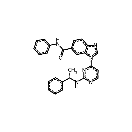 C[C@H](Nc1nccc(-n2cnc3ccc(C(=O)Nc4ccccc4)cc32)n1)c1ccccc1